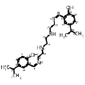 CC(C)c1ccc(O)c(/C=N\CCNCCNCC/N=C\c2cc(C(C)C)ccc2O)c1